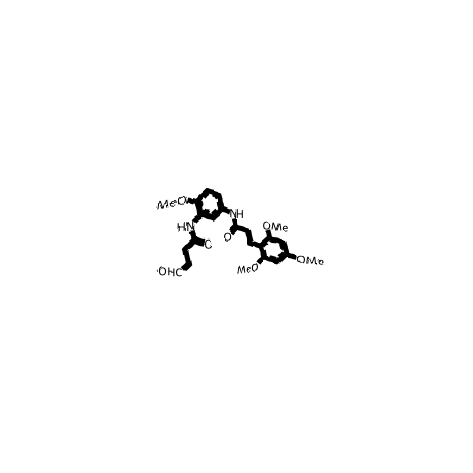 COc1cc(OC)c(/C=C/C(=O)Nc2ccc(OC)c(NC(=O)CC[C]=O)c2)c(OC)c1